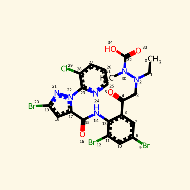 CCN(CC(=O)c1cc(Br)cc(Br)c1NC(=O)c1cc(Br)nn1-c1ncccc1Cl)N(C)C(=O)O